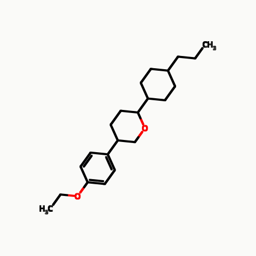 CCCC1CCC(C2CCC(c3ccc(OCC)cc3)CO2)CC1